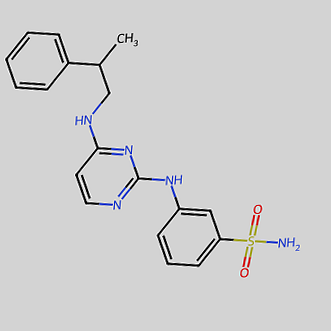 CC(CNc1ccnc(Nc2cccc(S(N)(=O)=O)c2)n1)c1ccccc1